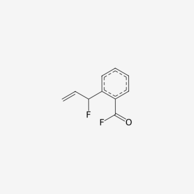 C=CC(F)c1ccccc1C(=O)F